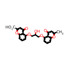 Cc1cc(=O)c2c(OCC(O)COc3cccc4oc(C(=O)O)cc(=O)c34)cccc2o1